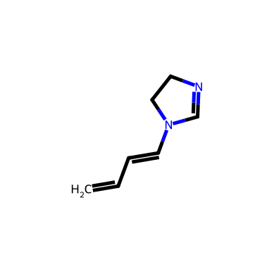 C=CC=CN1C=NCC1